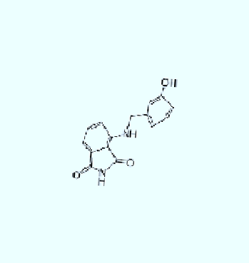 O=C1NC(=O)c2c(NCc3cccc(O)c3)cccc21